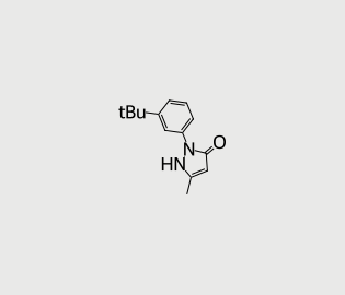 Cc1cc(=O)n(-c2cccc(C(C)(C)C)c2)[nH]1